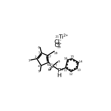 CC1=C(C)C(C)C([Si](C)(C)Pc2ccccc2)=C1C.[Cl-].[Cl-].[Ti+2]